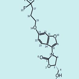 O=C1O[C@@H](CO)CN1c1coc2cc(OCCCC(F)(F)F)ccc12